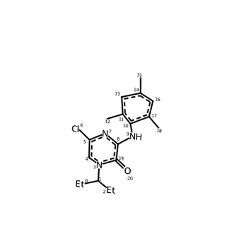 CCC(CC)n1cc(Cl)nc(Nc2c(C)cc(C)cc2C)c1=O